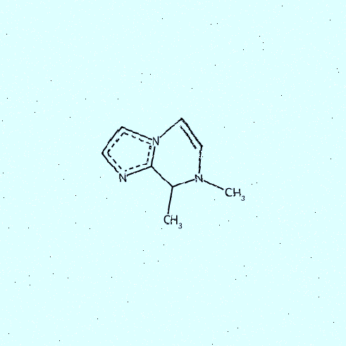 CC1c2nccn2C=CN1C